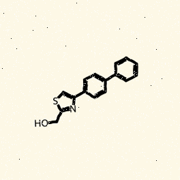 OCc1nc(-c2ccc(-c3ccccc3)cc2)cs1